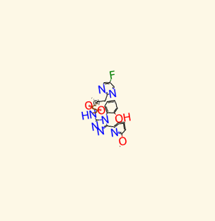 COC1=NC(c2nnc(NS(=O)(=O)[C@H](C)Cc3ncc(F)cn3)n2-c2ccccc2O)=C=C=C1